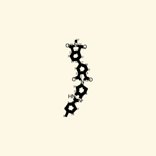 Cc1ccc(-c2nc3ccc(N4C(=O)c5ccc(-c6ccc7c(c6)C(=O)N(C)C7=O)cc5C4=O)cc3[nH]2)cc1